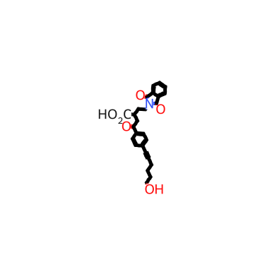 O=C(CC(CCN1C(=O)c2ccccc2C1=O)C(=O)O)c1ccc(C#CCCCCO)cc1